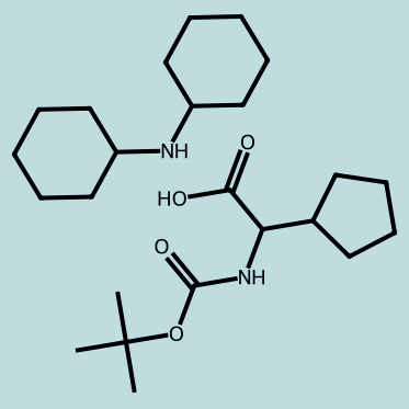 C1CCC(NC2CCCCC2)CC1.CC(C)(C)OC(=O)NC(C(=O)O)C1CCCC1